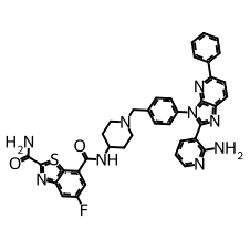 NC(=O)c1nc2cc(F)cc(C(=O)NC3CCN(Cc4ccc(-n5c(-c6cccnc6N)nc6ccc(-c7ccccc7)nc65)cc4)CC3)c2s1